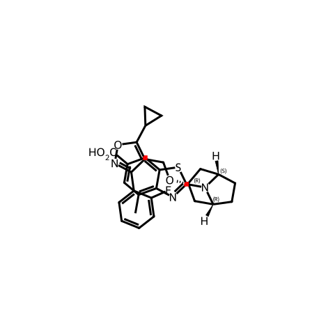 Cc1cc(C(=O)O)cc2sc(N3[C@@H]4CC[C@H]3C[C@@H](OCc3c(-c5ccccc5F)noc3C3CC3)C4)nc12